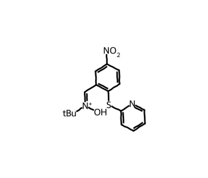 CC(C)(C)/[N+](O)=C/c1cc([N+](=O)[O-])ccc1Sc1ccccn1